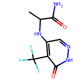 CC(Nc1cn[nH]c(=O)c1C(F)(F)F)C(N)=O